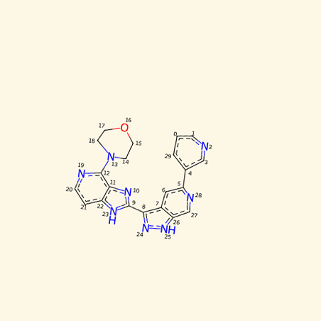 c1cncc(-c2cc3c(-c4nc5c(N6CCOCC6)nccc5[nH]4)n[nH]c3cn2)c1